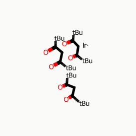 CC(C)(C)C(=O)CC(=O)C(C)(C)C.CC(C)(C)C(=O)CC(=O)C(C)(C)C.CC(C)(C)C(=O)CC(=O)C(C)(C)C.[Ir]